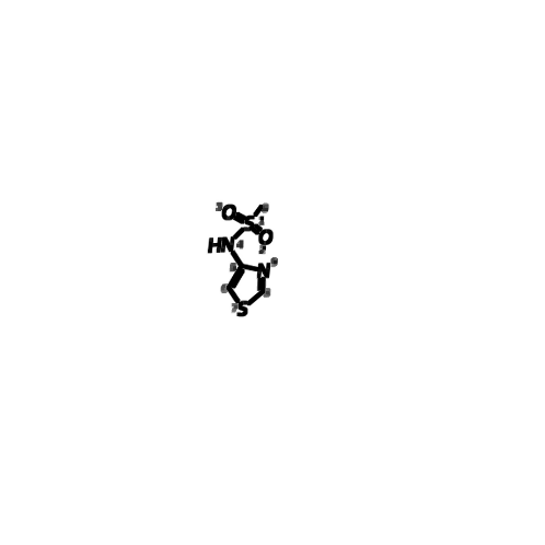 CS(=O)(=O)Nc1cscn1